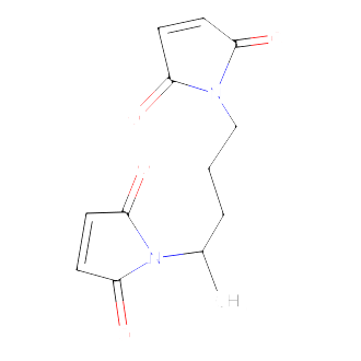 CC(CCCN1C(=O)C=CC1=O)N1C(=O)C=CC1=O